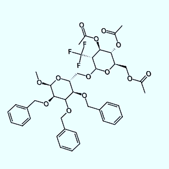 CO[C@H]1O[C@H](COC2O[C@H](COC(C)=O)[C@@H](OC(C)=O)[C@H](OC(C)=O)[C@H]2C(F)(F)F)[C@@H](OCc2ccccc2)C(OCc2ccccc2)[C@H]1OCc1ccccc1